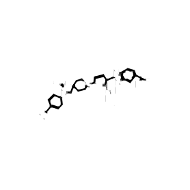 C=C(/C=C\C(CN)c1nc2ccc(C(F)(F)F)cc2[nH]1)N1CCC2(CC1)CN(C1C=CC(C#N)=CC1)C(=O)O2